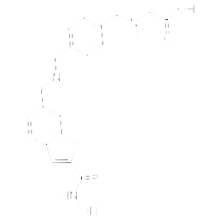 O=C(O)CNCc1ccc(CNCc2ccc3cc(C(=O)NO)sc3c2)cc1